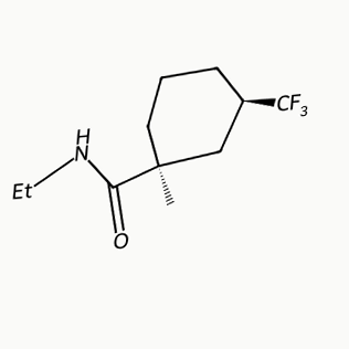 CCNC(=O)[C@@]1(C)CCC[C@@H](C(F)(F)F)C1